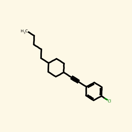 CCCCCC1CCC(C#Cc2ccc(Cl)cc2)CC1